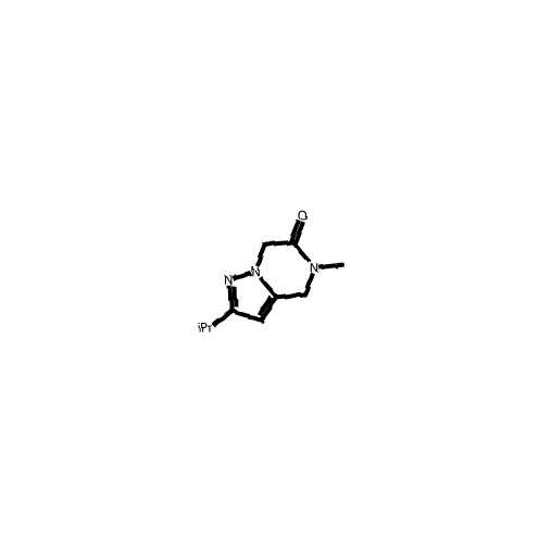 CC(C)c1cc2n(n1)CC(=O)N(C)C2